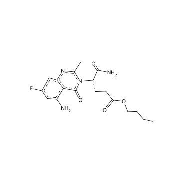 CCCCOC(=O)CC[C@@H](C(N)=O)n1c(C)nc2cc(F)cc(N)c2c1=O